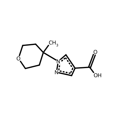 CC1(n2cc(C(=O)O)cn2)CCOCC1